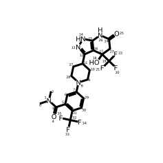 CN(C)C(=O)c1cc(N2CCC(c3n[nH]c4c3C(O)(C(F)(F)F)CC(=O)N4)CC2)ccc1C(F)(F)F